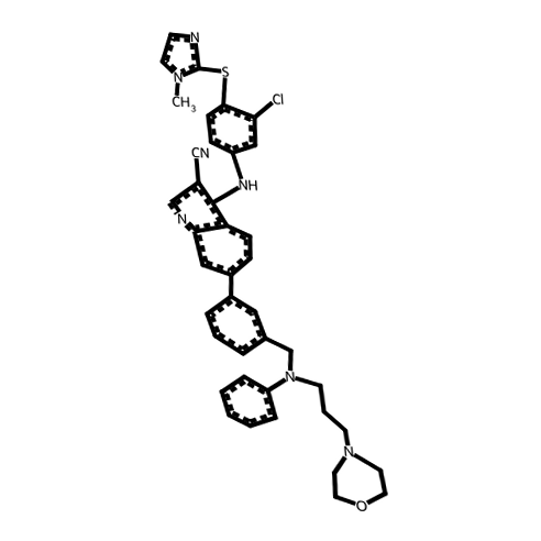 Cn1ccnc1Sc1ccc(Nc2c(C#N)cnc3cc(-c4cccc(CN(CCCN5CCOCC5)c5ccccc5)c4)ccc23)cc1Cl